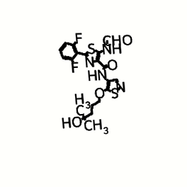 CC(C)(O)CCCOc1sncc1NC(=O)c1nc(-c2c(F)cccc2F)sc1NC=O